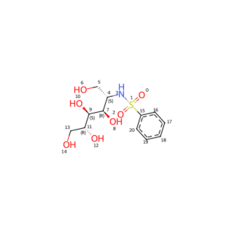 O=S(=O)(N[C@@H](CO)[C@@H](O)[C@H](O)[C@H](O)CO)c1ccccc1